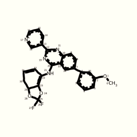 COc1cccc(-c2ccc3nc(-c4cccnc4)nc(NC4=C5OC(F)(F)OC5CC=C4)c3c2)c1